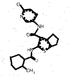 CC1CCCCC1C(=O)Nc1sc2c(c1C(=O)Nc1ccc(Cl)nc1)CCC2